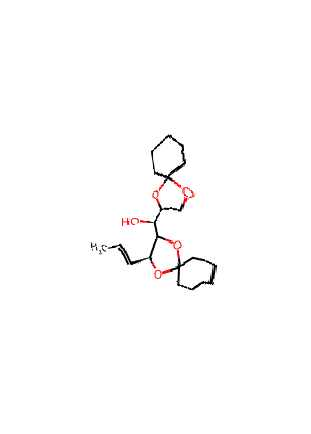 CC=C[C@@H]1OC2(CCCCC2)OC1[C@@H](O)C1COC2(CCCCC2)O1